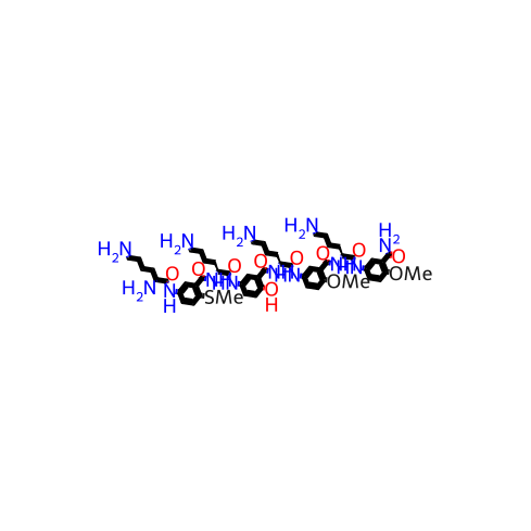 COc1ccc(NC(=O)[C@H](CCCCN)NC(=O)c2cc(NC(=O)[C@H](CCCCN)NC(=O)c3cc(NC(=O)[C@H](CCCCN)NC(=O)c4cc(NC(=O)[C@@H](N)CCCCN)ccc4SC)ccc3O)ccc2OC)cc1C(N)=O